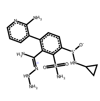 NN/N=C(\N)c1c(-c2cccnc2N)ccc([S+]([O-])NC2CC2)c1S(N)(=O)=O